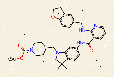 CC(C)(C)OC(=O)N1CCC(CN2CC(C)(C)c3ccc(NC(=O)c4cccnc4NCc4ccc5c(c4)CCO5)cc32)CC1